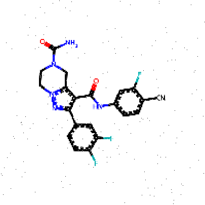 N#Cc1ccc(NC(=O)c2c(-c3ccc(F)c(F)c3)nn3c2CN(C(N)=O)CC3)cc1F